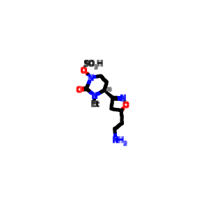 CCN1C(=O)N(OS(=O)(=O)O)CC[C@H]1C1=NOC(CCN)C1